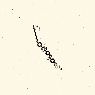 CCCCCCCCCCC1CCC(c2cnc(-c3ccc(OC(=O)c4ccc(OCC)cc4)cc3)nc2)CC1